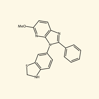 COc1ccc2nc(-c3ccccc3)n(-c3ccc4c(c3)SCN4)c2n1